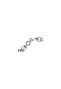 c1cc(N2CCNCC2)ccc1OCCN1CCOCC1